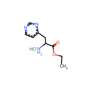 CCOC(=O)C(N)Cc1ccncn1.Cl